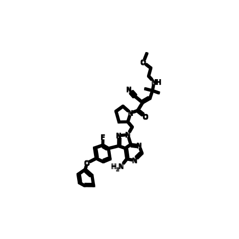 COCCNC(C)(C)C=C(C#N)C(=O)N1CCCC1Cn1nc(-c2ccc(Oc3ccccc3)cc2F)c2c(N)ncnc21